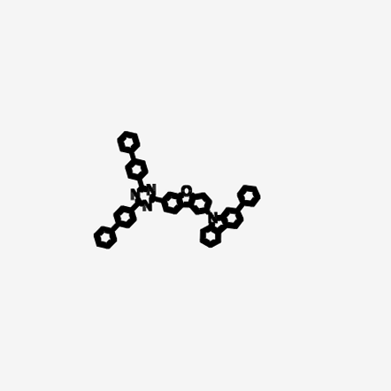 c1ccc(-c2ccc(-c3nc(-c4ccc(-c5ccccc5)cc4)nc(-c4ccc5c(c4)oc4ccc(-n6c7ccccc7c7ccc(-c8ccccc8)cc76)cc45)n3)cc2)cc1